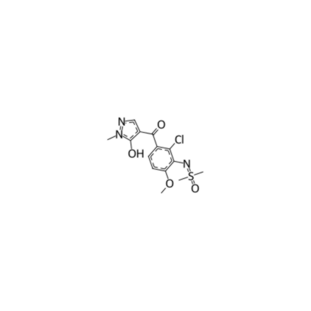 COc1ccc(C(=O)c2cnn(C)c2O)c(Cl)c1N=S(C)(C)=O